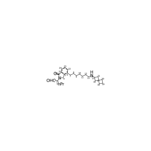 CCCC(C=O)N1Cc2c(CCCCCCCNC3CC4(CCC4)C3)cccc2C1=O